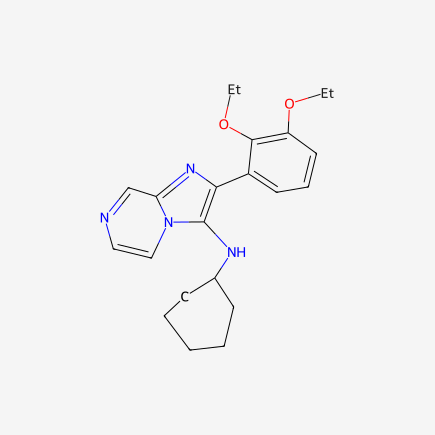 CCOc1cccc(-c2nc3cnccn3c2NC2CCCCC2)c1OCC